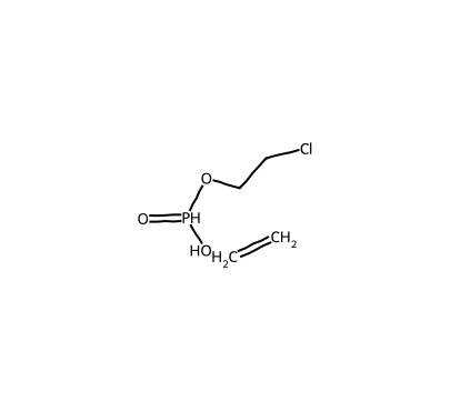 C=C.O=[PH](O)OCCCl